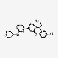 CCC(c1cccc(Cl)c1)n1ccc(-c2ccnc(NC3CCOCC3)n2)cc1=O